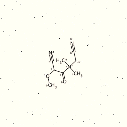 COC(C#N)C(=O)[N+](C)(C)CC#N